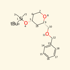 CC(C)(C)[Si](C)(C)O[C@@H]1CCO[C@H](COCc2ccccc2)C1